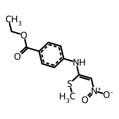 CCOC(=O)c1ccc(NC(=C[N+](=O)[O-])SC)cc1